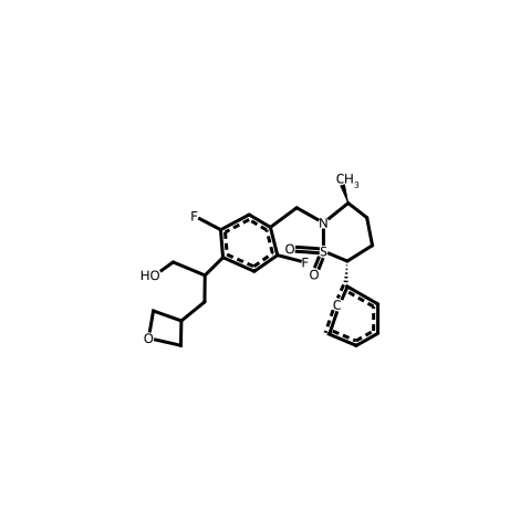 C[C@H]1CC[C@H](c2ccccc2)S(=O)(=O)N1Cc1cc(F)c(C(CO)CC2COC2)cc1F